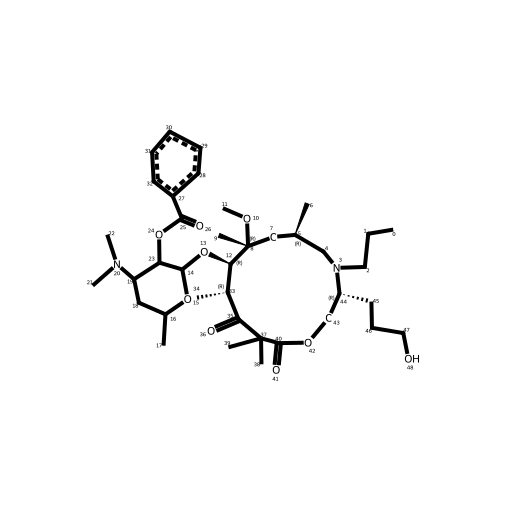 CCCN1C[C@H](C)C[C@@](C)(OC)[C@H](OC2OC(C)CC(N(C)C)C2OC(=O)c2ccccc2)[C@@H](C)C(=O)C(C)(C)C(=O)OC[C@H]1CCCO